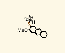 [1H][13C]([2H])([2H])Sc1cc2cc3c(cc2cc1OC)CCCC3